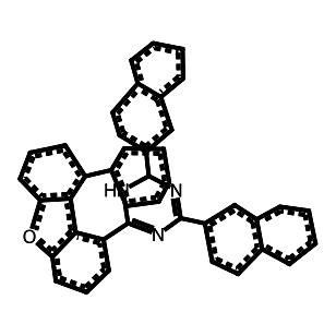 c1ccc(-c2cccc3oc4cccc(C5=NC(c6ccc7ccccc7c6)=NC(c6ccc7ccccc7c6)N5)c4c23)cc1